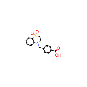 O=C(O)c1ccc(CN2CCS(=O)(=O)c3ccccc32)cc1